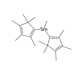 CC1=C(C)C(C)(C)[C]([Sm]([CH3])[C]2=C(C)C(C)=C(C)C2(C)C)=C1C